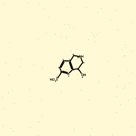 O=S(=O)(O)c1ccc2c(n1)C(O)CNC2